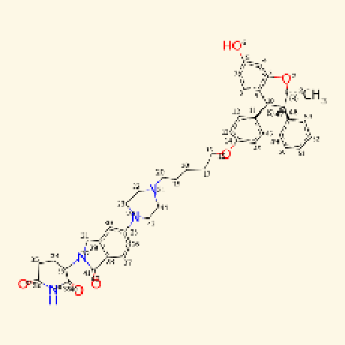 C[C@H]1Oc2cc(O)ccc2[C@H](c2ccc(OCCCCCN3CCN(c4ccc5c(c4)CN(C4CCC(=O)NC4=O)C5=O)CC3)cc2)[C@@H]1c1ccccc1